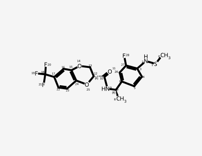 CSNc1ccc([C@@H](C)NC(=O)[C@H]2COc3cc(C(F)(F)F)ccc3O2)cc1F